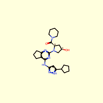 O=C([C@H]1C[C@@H](O)CN1c1nc2c(c(Nc3cc(C4CCCC4)[nH]n3)n1)CCC2)N1CCCCC1